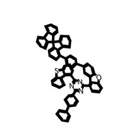 c1ccc(-c2ccc(-c3nc(-c4cccc5oc6ccc(-c7ccc(-c8cccc9c8-c8ccccc8C98c9ccccc9-c9ccccc98)cc7)cc6c45)nc(-c4cccc5sc6ccccc6c45)n3)cc2)cc1